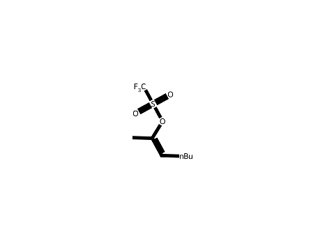 CCCC/C=C(/C)OS(=O)(=O)C(F)(F)F